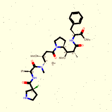 CC[C@H](C)[C@@H]([C@@H](CC(=O)N1CCC[C@H]1[C@H](OC)[C@@H](C)C(=O)N[C@@H](Cc1ccccc1)C(=O)OC)OC)N(C)C(=O)[C@@H](NC(=O)[C@]1(F)CCNC1)C(C)C